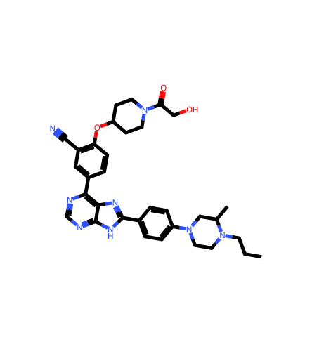 CCCN1CCN(c2ccc(-c3nc4c(-c5ccc(OC6CCN(C(=O)CO)CC6)c(C#N)c5)ncnc4[nH]3)cc2)CC1C